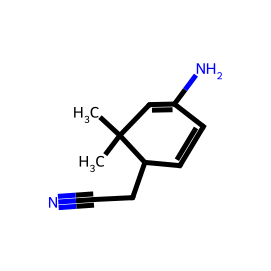 CC1(C)C=C(N)C=CC1CC#N